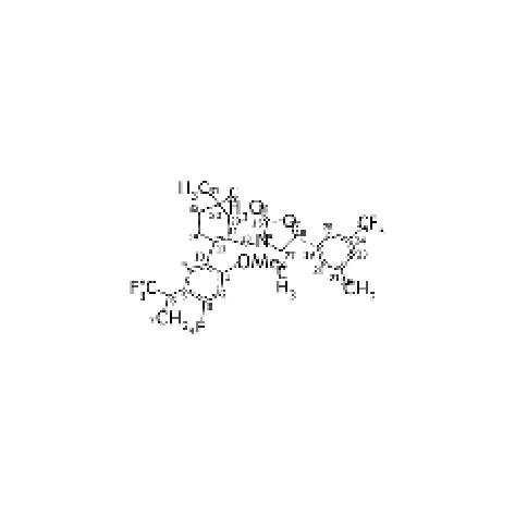 COc1cc(F)c(C(C)C(F)(F)F)cc1C1=C(CN2C(=O)O[C@H](c3cc(C)cc(C(F)(F)F)c3)[C@@H]2C)CC(C)(C)CC1